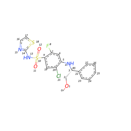 COC[C@H](Nc1cc(F)c(S(=O)(=O)Nc2nccs2)cc1Cl)c1ccccc1